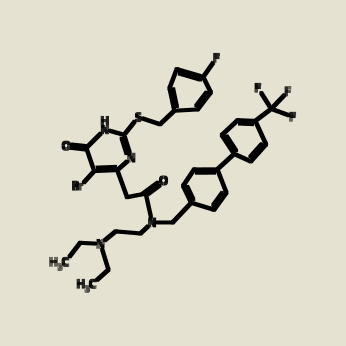 CCN(CC)CCN(Cc1ccc(-c2ccc(C(F)(F)F)cc2)cc1)C(=O)Cc1nc(SCc2ccc(F)cc2)[nH]c(=O)c1Br